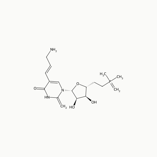 C=C1NC(=O)C(/C=C/CN)=CN1[C@@H]1O[C@H](CCP(=C)(C)C)[C@@H](O)[C@H]1O